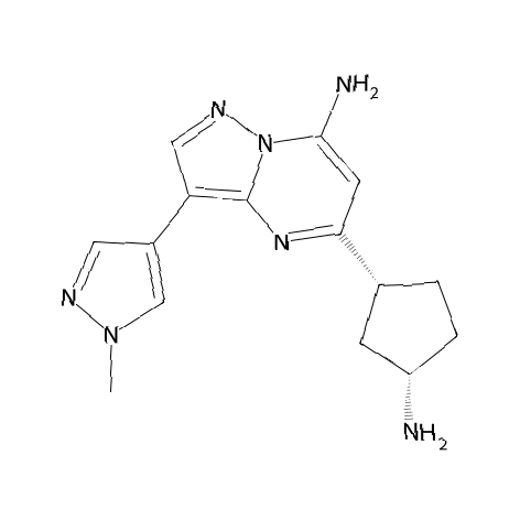 Cn1cc(-c2cnn3c(N)cc([C@@H]4CC[C@H](N)C4)nc23)cn1